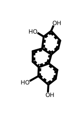 Oc1ccc2c(ccc3c(O)c(O)ccc32)c1O